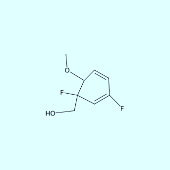 COC1C=CC(F)=CC1(F)CO